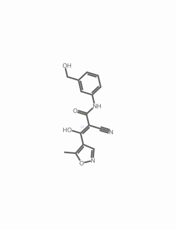 Cc1oncc1/C(O)=C(\C#N)C(=O)Nc1cccc(CO)c1